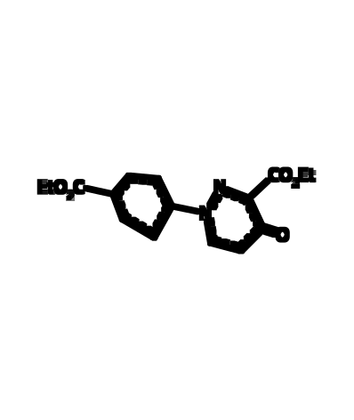 CCOC(=O)c1ccc(-n2ccc(=O)c(C(=O)OCC)n2)cc1